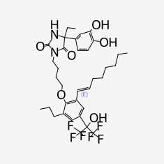 CCCCCC/C=C/c1cc(C(O)(C(F)(F)F)C(F)(F)F)cc(CCC)c1OCCCCN1C(=O)NC(CC)(c2ccc(O)c(O)c2)C1=O